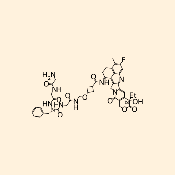 CC[C@@]1(O)C(=O)OCc2c1cc1n(c2=O)Cc2c-1nc1cc(F)c(C)c3c1c2[C@@H](NC(=O)C1CC(OCNC(=O)CNC(=O)[C@H](Cc2ccccc2)NC(=O)CNC(=O)CN)C1)CC3